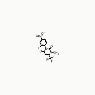 Cn1c(C(F)(F)F)cc(=O)n(-c2ccc([N+](=O)[O-])cc2F)c1=O